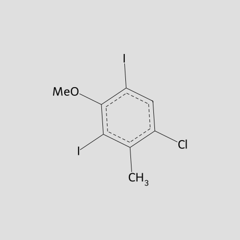 COc1c(I)cc(Cl)c(C)c1I